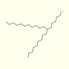 [CH2]CCCCCC(CCCCCCCCC)CCCCCCCCCCC